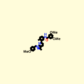 COc1ccc(Cn2nc(C)c3ccc(-c4cc(NC(=O)c5cc(OC)cc(OC)c5)ccc4C)nc32)cc1